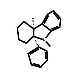 CN1c2ccccc2[C@]2(C)CCCC[C@]12c1ccccc1